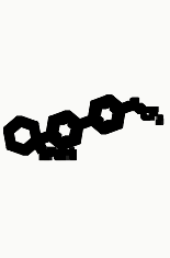 CCCCCC1(c2ccc(-c3ccc(SC(F)(F)F)cc3)cc2)CCCCC1